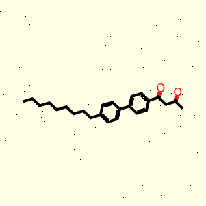 CCCCCCCCCc1ccc(-c2ccc(C(=O)CC(C)=O)cc2)cc1